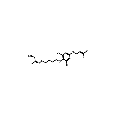 CC(CC(C)(C)C)=NOCCCCOc1c(Cl)cc(OCC=C(Cl)Cl)cc1Cl